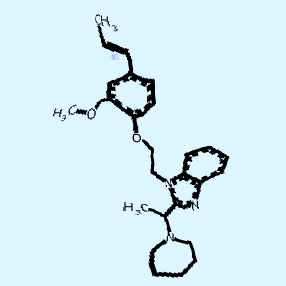 C/C=C/c1ccc(OCCn2c(C(C)N3CCCCC3)nc3ccccc32)c(OC)c1